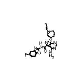 CC=CN1CCC[C@@H](n2nc(C(=O)Nc3nc4cc(F)ccc4o3)c3c(N)ncnc32)C1